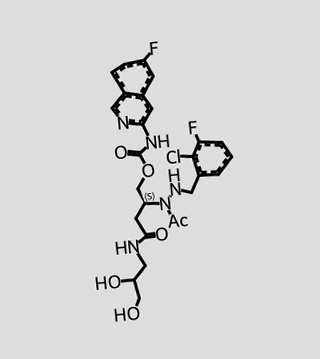 CC(=O)N(NCc1cccc(F)c1Cl)[C@H](COC(=O)Nc1cc2cc(F)ccc2cn1)CC(=O)NCC(O)CO